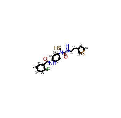 O=C(Nc1ccc(N(S)C(=O)NCCc2ccsc2)cc1)c1ccccc1F